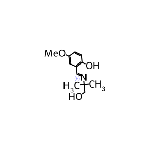 COc1ccc(O)c(/C=N/C(C)(C)CO)c1